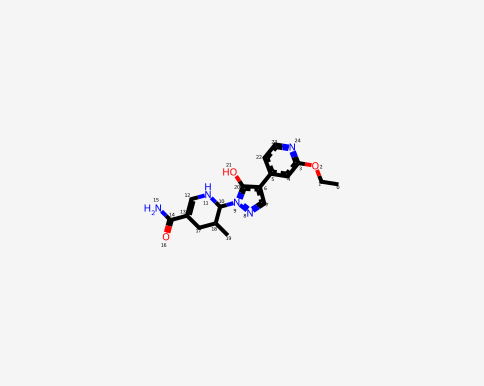 CCOc1cc(-c2cnn(C3NC=C(C(N)=O)CC3C)c2O)ccn1